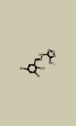 Nc1nonc1N/N=C/c1cc(Br)cc(Br)c1O